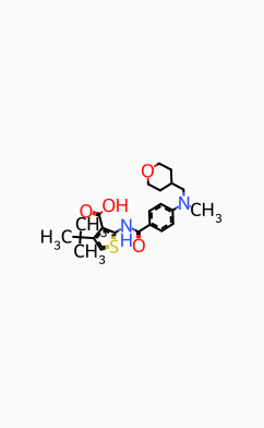 CN(CC1CCOCC1)c1ccc(C(=O)Nc2scc(C(C)(C)C)c2C(=O)O)cc1